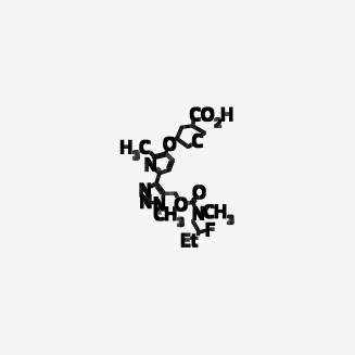 CCC(F)CN(C)C(=O)OCc1c(-c2ccc(O[C@H]3CCC[C@H](C(=O)O)C3)c(C)n2)nnn1C